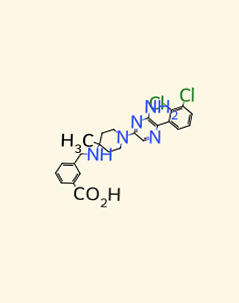 CC1(NCc2cccc(C(=O)O)c2)CCN(c2cnc(-c3cccc(Cl)c3Cl)c(N)n2)CC1